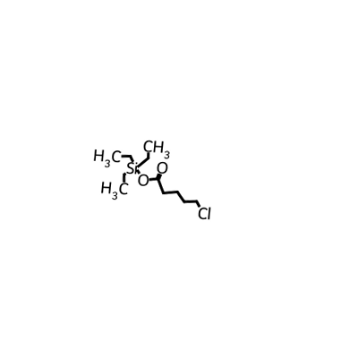 CC[Si](CC)(CC)OC(=O)CCCCCl